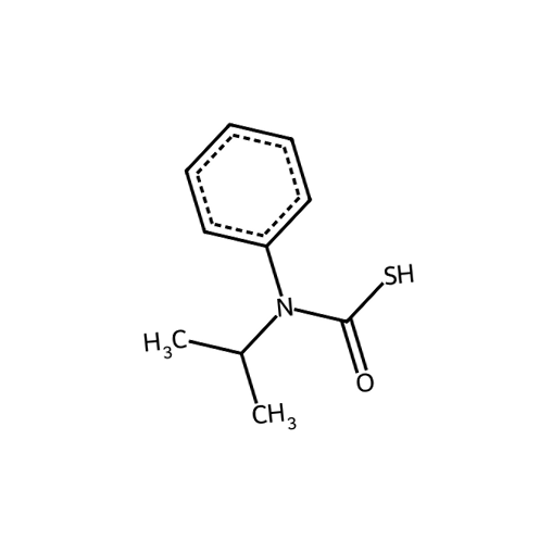 CC(C)N(C(=O)S)c1ccccc1